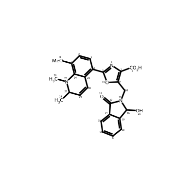 COc1ccc(-c2nc(C(=O)O)c(CN3C(=O)c4ccccc4C3O)o2)c2c1N(C)C(C)C=C2